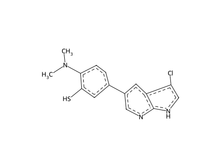 CN(C)c1ccc(-c2cnc3[nH]cc(Cl)c3c2)cc1S